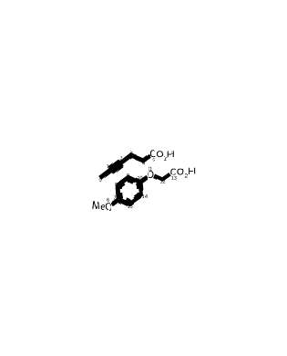 CC#CCCC(=O)O.COc1ccc(OCC(=O)O)cc1